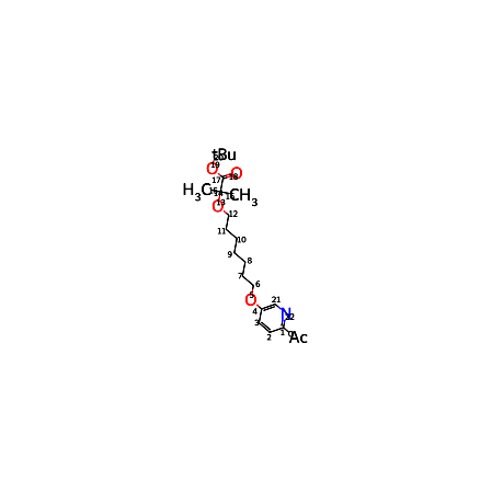 CC(=O)c1ccc(OCCCCCCCOC(C)(C)C(=O)OC(C)(C)C)cn1